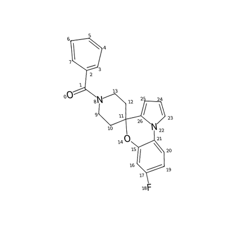 O=C(c1ccccc1)N1CCC2(CC1)Oc1cc(F)ccc1-n1cccc12